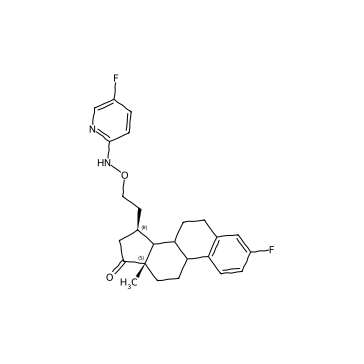 C[C@]12CCC3c4ccc(F)cc4CCC3C1[C@H](CCONc1ccc(F)cn1)CC2=O